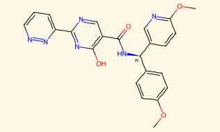 COc1ccc([C@@H](NC(=O)c2cnc(-c3cccnn3)nc2O)c2ccc(OC)nc2)cc1